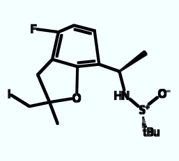 C[C@@H](N[S@+]([O-])C(C)(C)C)c1ccc(F)c2c1OC(C)(CI)C2